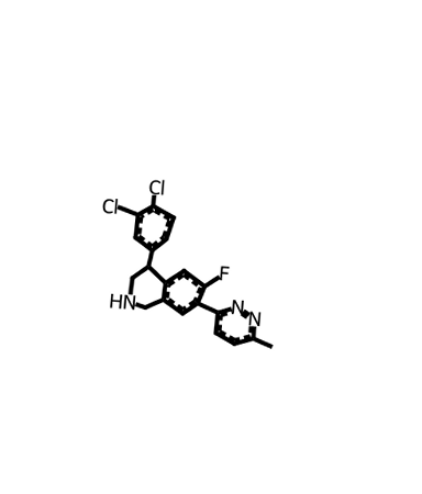 Cc1ccc(-c2cc3c(cc2F)C(c2ccc(Cl)c(Cl)c2)CNC3)nn1